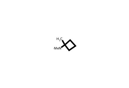 C[N]C1(C)CCC1